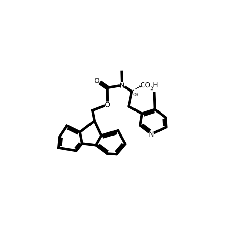 Cc1ccncc1C[C@@H](C(=O)O)N(C)C(=O)OCC1c2ccccc2-c2ccccc21